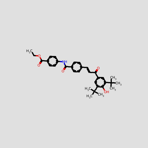 CCOC(=O)c1ccc(NC(=O)c2ccc(C=CC(=O)c3cc(C(C)(C)C)c(O)c(C(C)(C)C)c3)cc2)cc1